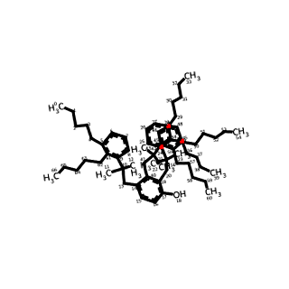 CCCCCc1cccc(C(C)(C)Cc2ccc(O)c(CC(C)(C)c3cccc(CCCCC)c3CCCCC)c2CC(C)(C)c2cccc(CCCCC)c2CCCCC)c1CCCCC